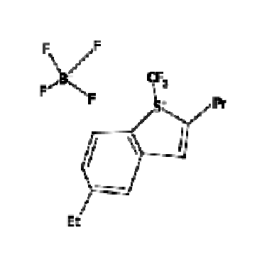 CCc1ccc2c(c1)cc(C(C)C)[s+]2C(F)(F)F.F[B-](F)(F)F